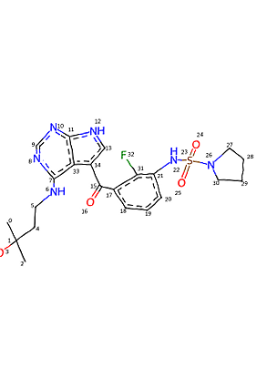 CC(C)(O)CCNc1ncnc2[nH]cc(C(=O)c3cccc(NS(=O)(=O)N4CCCC4)c3F)c12